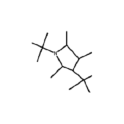 CC1C(C)N(C(C)(C)C)C(C)C1C(C)(C)C